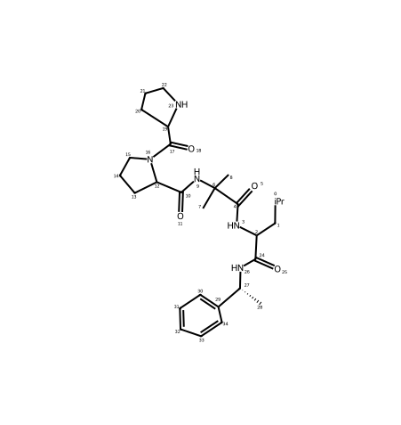 CC(C)CC(NC(=O)C(C)(C)NC(=O)C1CCCN1C(=O)C1CCCN1)C(=O)N[C@H](C)c1ccccc1